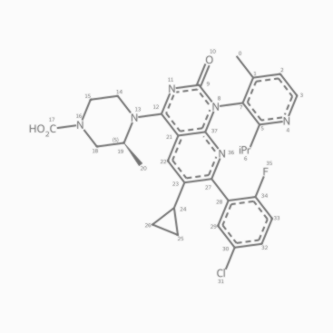 Cc1ccnc(C(C)C)c1-n1c(=O)nc(N2CCN(C(=O)O)C[C@@H]2C)c2cc(C3CC3)c(-c3cc(Cl)ccc3F)nc21